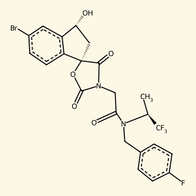 C[C@H](N(Cc1ccc(F)cc1)C(=O)CN1C(=O)O[C@]2(C[C@@H](O)c3cc(Br)ccc32)C1=O)C(F)(F)F